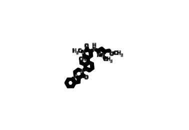 CCc1c(-c2cc(Nc3cc(COC)n(C)n3)c(=O)n(C)c2)cccc1N1CCn2c(cc3c2CCCC3)C1=O